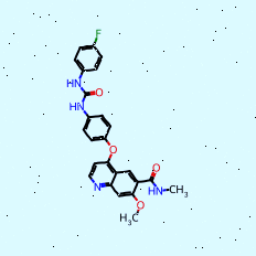 CNC(=O)c1cc2c(Oc3ccc(NC(=O)Nc4ccc(F)cc4)cc3)ccnc2cc1OC